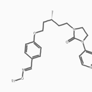 CCON=Cc1ccc(OCC[C@H](C)CCN2CCN(c3ccncc3)C2=O)cc1